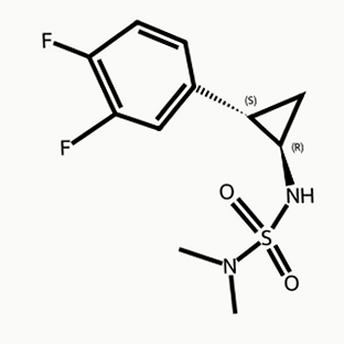 CN(C)S(=O)(=O)N[C@@H]1C[C@H]1c1ccc(F)c(F)c1